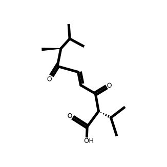 CC(C)[C@H](C(=O)O)C(=O)/C=C/C(=O)[C@@H](C)C(C)C